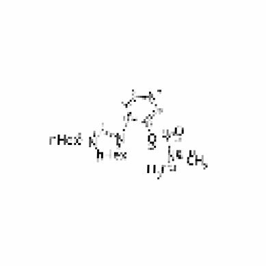 CCCCCCN(C=Nc1ccncc1OC(=O)N(C)C)CCCCCC